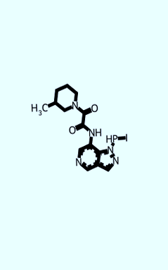 CC1CCCN(C(=O)C(=O)Nc2cncc3cnn(PI)c23)C1